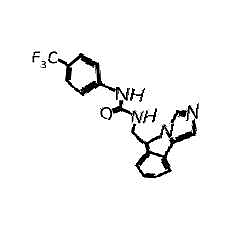 O=C(NCC1c2ccccc2-c2cncn21)Nc1ccc(C(F)(F)F)cc1